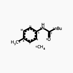 C.CCCCC(=O)Nc1ccc(C)cc1